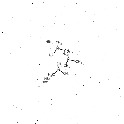 Br.Br.Br.CN(C)C.CN(C)C.CN(C)C